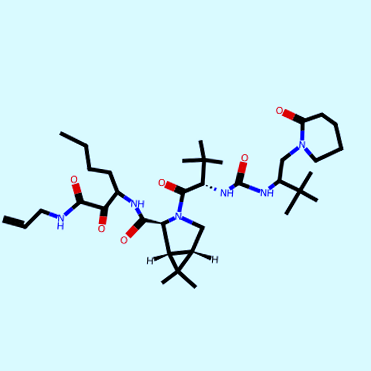 C=CCNC(=O)C(=O)C(CCCC)NC(=O)[C@@H]1[C@@H]2[C@H](CN1C(=O)[C@@H](NC(=O)NC(CN1CCCCC1=O)C(C)(C)C)C(C)(C)C)C2(C)C